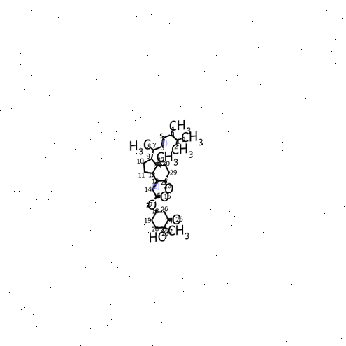 CC(C)C(C)/C=C/C(C)C1CCC2/C(=C/C(=O)OC3CCC(C)(O)C(=O)C3)C(=O)CC[C@@]21C